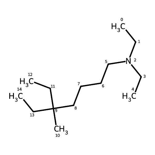 CCN(CC)CCCCC(C)(CC)CC